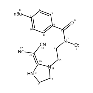 CCCCc1ccc(C(=O)N(CC)CCN2CCNC2=C(C#N)C#N)cc1